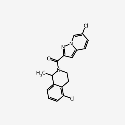 CC1c2cccc(Cl)c2CCN1C(=O)c1cc2ccc(Cl)cn2n1